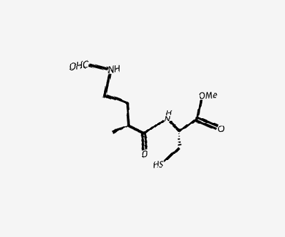 COC(=O)[C@H](CS)NC(=O)[C@@H](C)CCNC=O